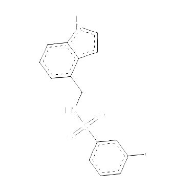 O=S(=O)(NCc1cccc2[nH]ccc12)c1cccc(Cl)c1